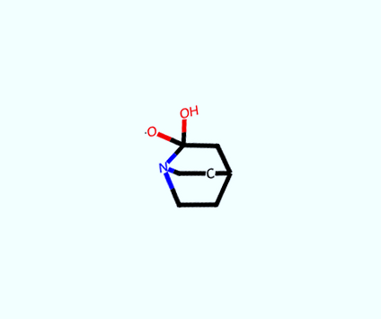 [O]C1(O)CC2CCN1CC2